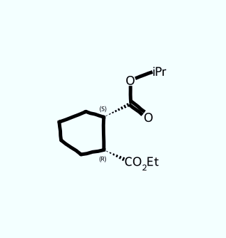 CCOC(=O)[C@@H]1CCCC[C@@H]1C(=O)OC(C)C